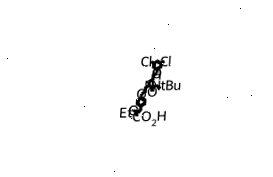 CCOC(Cc1ccc(OCCN(CCCOc2cc(Cl)cc(Cl)c2)C(=O)NCC(C)(C)C)cc1)C(=O)O